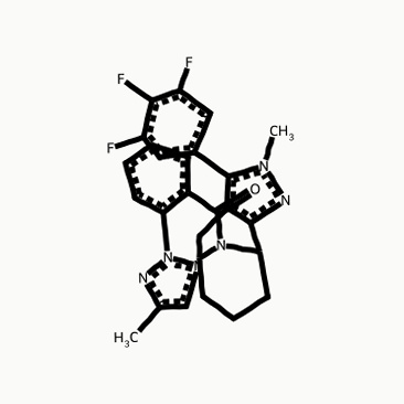 Cc1cnn(-c2ccccc2C(=O)N2C3CCCC2c2nn(C)c(-c4cc(F)c(F)c(F)c4)c2C3)n1